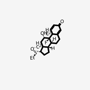 CC[S+]([O-])[C@H]1CC[C@H]2[C@@H]3CCC4=CC(=O)C=C[C@]4(C)[C@@]3(F)[C@@H](O)C[C@]12C